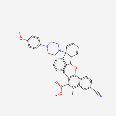 COC(=O)c1c2c(c3ccc(C#N)cc3c1C)OC(C1C=CC=CC1(c1ccccc1)N1CCN(c3ccc(OC)cc3)CC1)C=C2